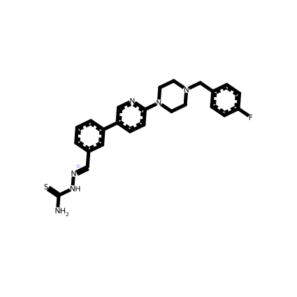 NC(=S)N/N=C/c1cccc(-c2ccc(N3CCN(Cc4ccc(F)cc4)CC3)nc2)c1